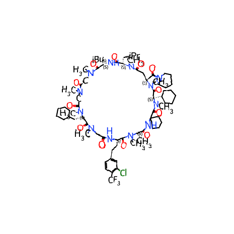 CC[C@H](C)[C@@H]1NC(=O)[C@H](CC(C)C)N(C)C(=O)C[C@@H](C(=O)N2CCCCC2)N(C)C(=O)[C@H](C2CCCCC2)N(C)C(=O)C2(CCCC2)NC(=O)[C@H](C)N(C)C(=O)[C@H](CCc2ccc(C(F)(F)F)c(Cl)c2)NC(=O)CN(C)C(=O)[C@H](CC2CCCCC2)N(C)C(=O)CN(C)C(=O)CN(C)C1=O